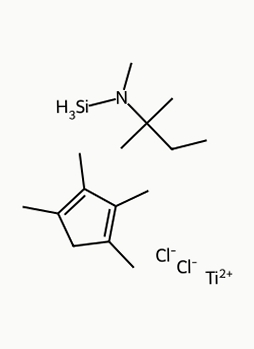 CC1=C(C)C(C)=C(C)C1.CCC(C)(C)N(C)[SiH3].[Cl-].[Cl-].[Ti+2]